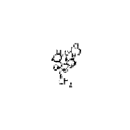 C=CCS(=O)(=O)C(c1nccc(N2CCOC[C@@H]2C)n1)C1CCCCC1